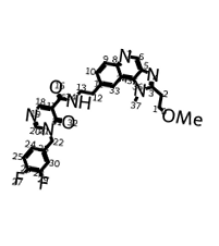 COCCc1nc2cnc3ccc(CCNC(=O)c4cncn(Cc5ccc(F)c(F)c5)c4=O)cc3c2n1C